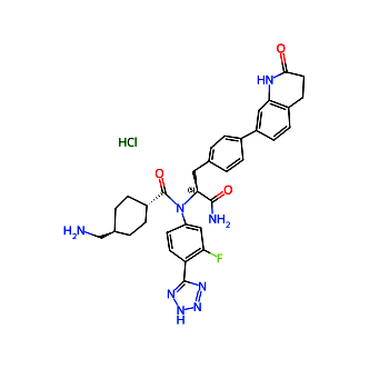 Cl.NC[C@H]1CC[C@H](C(=O)N(c2ccc(-c3nn[nH]n3)c(F)c2)[C@@H](Cc2ccc(-c3ccc4c(c3)NC(=O)CC4)cc2)C(N)=O)CC1